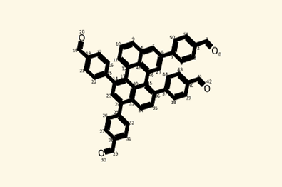 O=Cc1ccc(-c2cc3cccc4c5c(-c6ccc(C=O)cc6)cc(-c6ccc(C=O)cc6)c6ccc(-c7ccc(C=O)cc7)c(c(c2)c34)c65)cc1